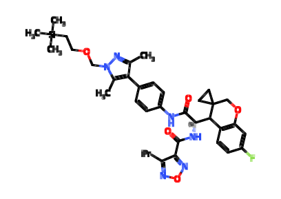 Cc1nn(COCC[Si](C)(C)C)c(C)c1-c1ccc(NC(=O)[C@@H](NC(=O)c2nonc2C(C)C)C2c3ccc(F)cc3OCC23CC3)cc1